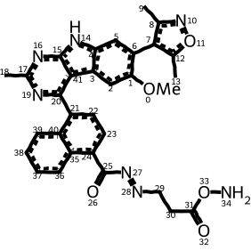 COc1cc2c(cc1-c1c(C)noc1C)[nH]c1nc(C)nc(-c3ccc(C(=O)N=NCCC(=O)ON)c4ccccc34)c12